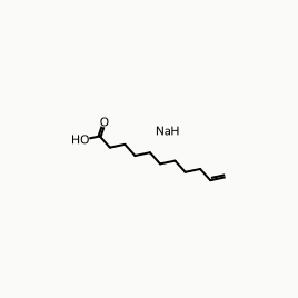 C=CCCCCCCCCC(=O)O.[NaH]